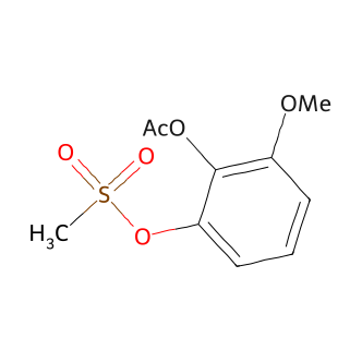 COc1cccc(OS(C)(=O)=O)c1OC(C)=O